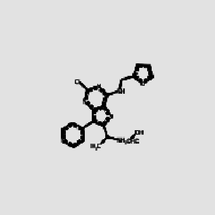 CC(N)c1sc2c(NCc3ccco3)nc(Cl)nc2c1-c1ccccc1.O=CO